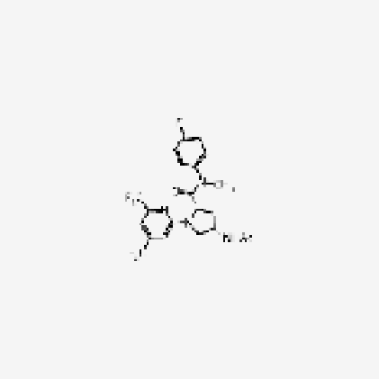 CC(=O)N[C@H]1C[C@@H](C(=O)N(C)c2ccc(F)cc2)N(c2cc(C(F)(F)F)cc(C(F)(F)F)n2)C1